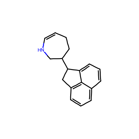 C1=CNCC(C2Cc3cccc4cccc2c34)CC1